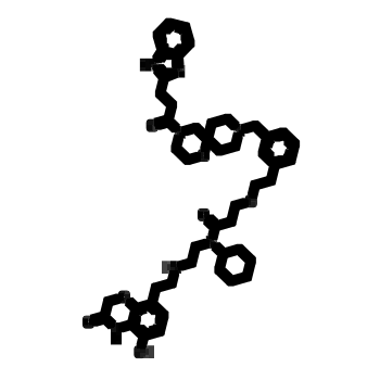 O=C1COc2c(CCNCCN(C(=O)CCOCCc3cccc(CN4CCC5(CC4)CN(C(=O)CCc4nc6ccccc6[nH]4)CCO5)c3)C3CCCCC3)ccc(O)c2N1